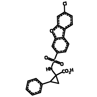 O=C(O)C1(NS(=O)(=O)c2ccc3c(c2)oc2cc(Cl)ccc23)CC1c1ccccc1